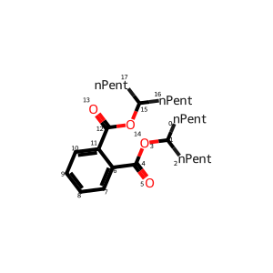 CCCCCC(CCCCC)OC(=O)c1ccccc1C(=O)OC(CCCCC)CCCCC